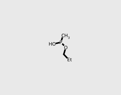 CCCOP(C)O